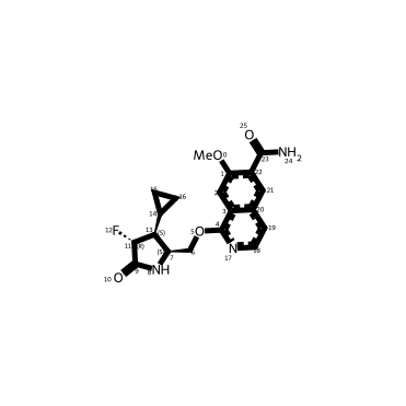 COc1cc2c(OC[C@H]3NC(=O)[C@H](F)[C@H]3C3CC3)nccc2cc1C(N)=O